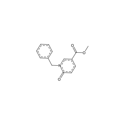 COC(=O)c1ccc(=O)n(Cc2ccccc2)c1